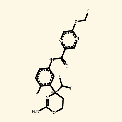 NC1=N[C@@](c2cc(NC(=O)c3cnc(OCF)cn3)ccc2F)(C(F)F)CCO1